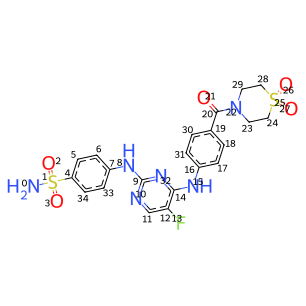 NS(=O)(=O)c1ccc(Nc2ncc(F)c(Nc3ccc(C(=O)N4CCS(=O)(=O)CC4)cc3)n2)cc1